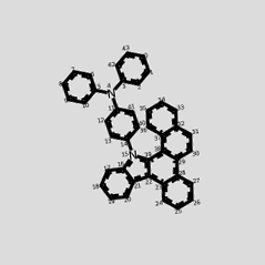 c1ccc(N(c2ccccc2)c2ccc(-n3c4ccccc4c4c5ccccc5c5ccc6ccccc6c5c43)cc2)cc1